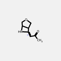 CC(=O)/C=C1/NC2COCC12